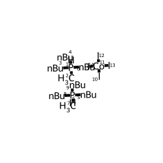 CCCC[PH](C)(CCCC)CCCC.CCCC[PH](C)(CCCC)CCCC.[I][Co]([I])([I])[I]